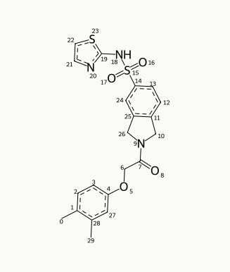 Cc1ccc(OCC(=O)N2Cc3ccc(S(=O)(=O)Nc4nccs4)cc3C2)cc1C